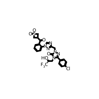 O=C(c1ccccc1-n1cnc(Cn2nc(-c3ccc(Cl)cc3)n(C[C@H](O)C(F)(F)F)c2=O)n1)C1CS(=O)(=O)C1